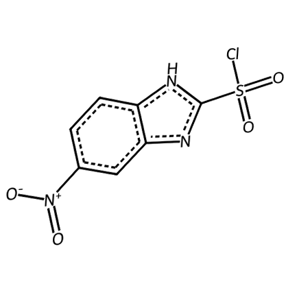 O=[N+]([O-])c1ccc2[nH]c(S(=O)(=O)Cl)nc2c1